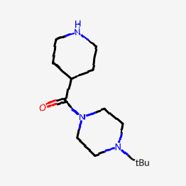 CC(C)(C)N1CCN(C(=O)C2CCNCC2)CC1